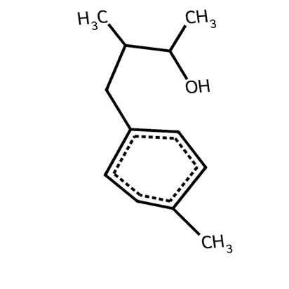 Cc1ccc(CC(C)C(C)O)cc1